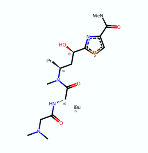 CC[C@H](C)[C@H](NC(=O)CN(C)C)C(=O)N(C)[C@H](C[C@@H](O)c1nc(C(=O)NC)cs1)C(C)C